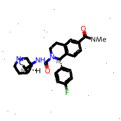 CNC(=O)c1ccc2c(c1)CCN(C(=O)N[C@@H]1CN3CCC1CC3)[C@H]2c1ccc(F)cc1